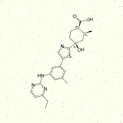 CCc1ccnc(Nc2cc(C)cc(-c3cnc([C@]4(O)CC[C@@H](C(=O)O)[C@@H](C)C4)s3)c2)n1